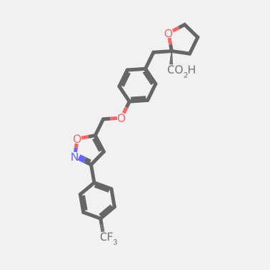 O=C(O)[C@]1(Cc2ccc(OCc3cc(-c4ccc(C(F)(F)F)cc4)no3)cc2)CCCO1